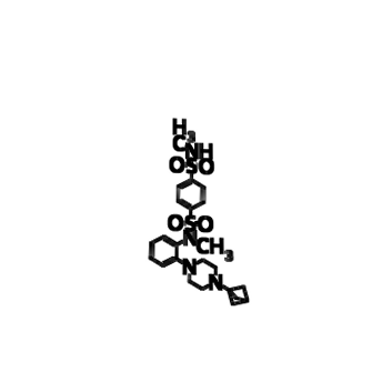 CNS(=O)(=O)c1ccc(S(=O)(=O)N(C)c2ccccc2N2CCN(C34CC(C3)C4)CC2)cc1